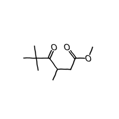 COC(=O)CC(C)C(=O)C(C)(C)C